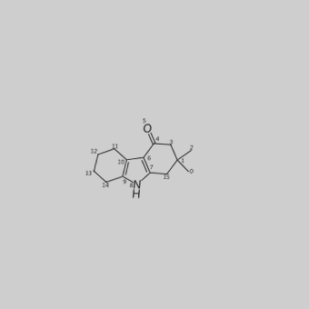 CC1(C)CC(=O)c2c([nH]c3c2CCCC3)C1